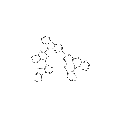 c1ccc2c(c1)Oc1cc(-c3ccc4c5ccccc5n(-c5nc(-c6cccc7c6sc6ccccc67)c6ccccc6n5)c4c3)cc3c1N2c1ccccc1O3